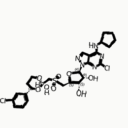 O=S(=O)(C[C@H]1O[C@@H](n2ncc3c(NC4CCCC4)nc(Cl)nc32)[C@H](O)[C@@H]1O)C[PH]1(O)OCC[C@@H](c2cccc(Cl)c2)O1